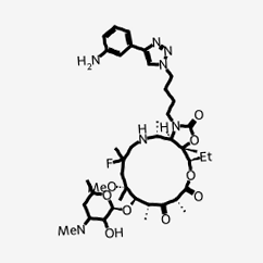 CC[C@H]1OC(=O)[C@H](C)C(=O)[C@H](C)[C@@H](O[C@@H]2OC(C)CC(NC)C2O)[C@](C)(OC)CC(C)(F)CN[C@H](C)[C@H]2N(CCCCn3cc(-c4cccc(N)c4)nn3)C(=O)O[C@]12C